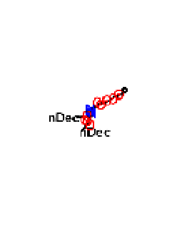 CCCCCCCCCCCCCC(=O)OCC(Cn1cc(CCC(=O)OCCOCCOCCOCc2ccccc2)nn1)OC(=O)CCCCCCCCCCCCC